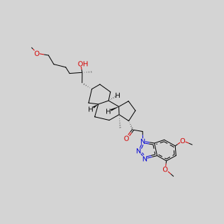 COCCCC[C@@](C)(O)C[C@@H]1CC[C@@H]2[C@H](CC[C@]3(C)[C@@H](C(=O)Cn4nnc5c(OC)cc(OC)cc54)CC[C@@H]23)C1